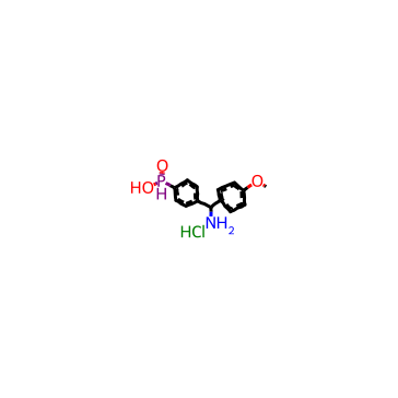 COc1ccc(C(N)c2ccc([PH](=O)O)cc2)cc1.Cl